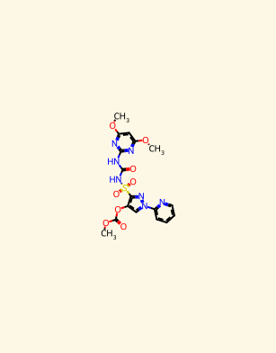 COC(=O)Oc1cn(-c2ccccn2)nc1S(=O)(=O)NC(=O)Nc1nc(OC)cc(OC)n1